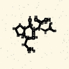 CC(C)C[C@H](NC(=O)[C@@H]1CCCN1C(=O)CN)C(=O)O